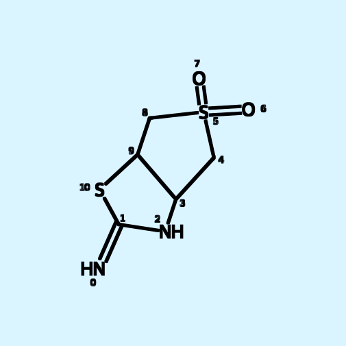 N=C1NC2CS(=O)(=O)CC2S1